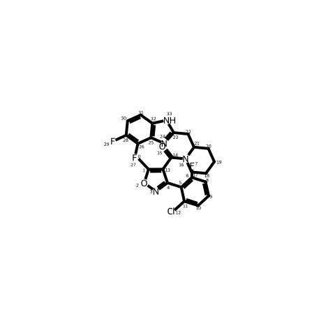 Cc1onc(-c2c(F)cccc2Cl)c1C(=O)N1CCCCC1Cc1nc2c(F)c(F)ccc2[nH]1